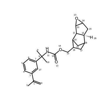 C=C(C)c1cccc(C(C)(C)NC(=O)OCC2CC3CC2C2C4OC4C[C@@H]32)c1